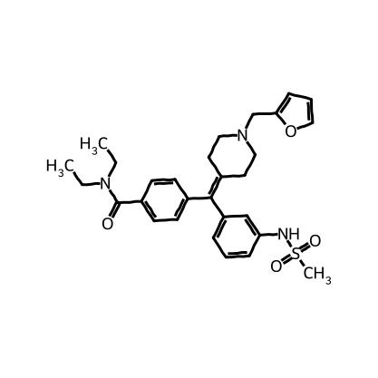 CCN(CC)C(=O)c1ccc(C(=C2CCN(Cc3ccco3)CC2)c2cccc(NS(C)(=O)=O)c2)cc1